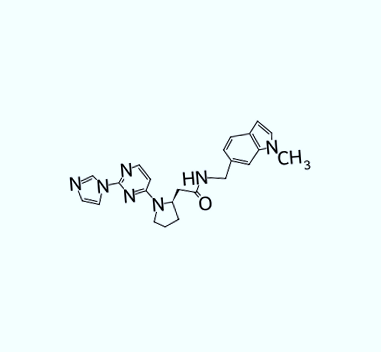 Cn1ccc2ccc(CNC(=O)C[C@H]3CCCN3c3ccnc(-n4ccnc4)n3)cc21